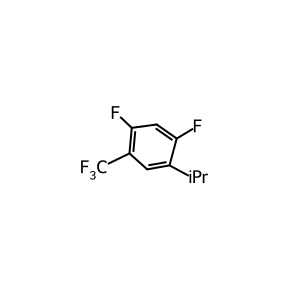 CC(C)c1cc(C(F)(F)F)c(F)cc1F